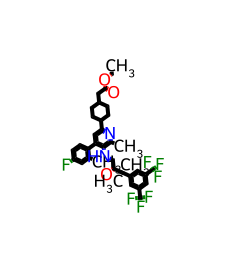 CCOC(=O)CC1CCC(c2cc(-c3ccc(F)cc3C)c(NCC(=O)C(C)(C)c3cc(C(F)(F)F)cc(C(F)(F)F)c3)c(C)n2)CC1